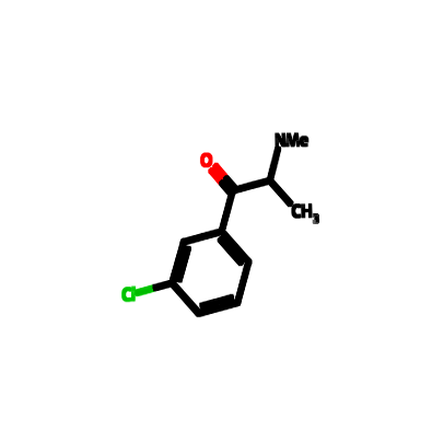 CNC(C)C(=O)c1cccc(Cl)c1